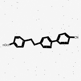 CCCCCCCCc1ccc(CCc2ccc(-c3ccc(C#N)cc3)cc2)cc1